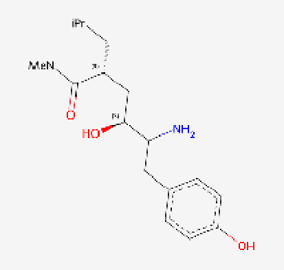 CNC(=O)[C@H](CC(C)C)C[C@H](O)C(N)Cc1ccc(O)cc1